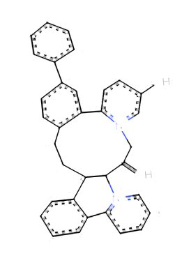 C=C1C[n+]2cc(C)ccc2-c2cc(-c3ccccc3)ccc2CCC2c3ccccc3-c3cccc[n+]3C12